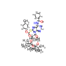 Cc1ccc(OC(=S)O[C@@H]2[C@H]3O[Si](C(C)C)(C(C)C)O[Si](C(C)C)(C(C)C)OC[C@@H]3O[C@H]2n2cnc3c(NC(=O)c4ccccc4)ncnc32)cc1